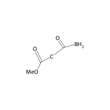 BC(=O)CC(=O)OC